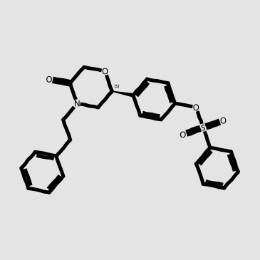 O=C1CO[C@@H](c2ccc(OS(=O)(=O)c3ccccc3)cc2)CN1CCc1ccccc1